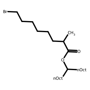 CCCCCCCCC(CCCCCCCC)OC(=O)C(C)CCCCCCBr